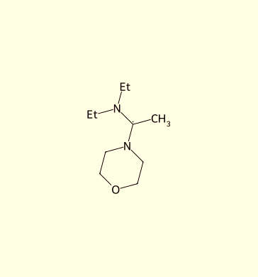 CCN(CC)[C](C)N1CCOCC1